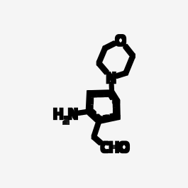 Nc1cc(N2CCOCC2)ccc1CC=O